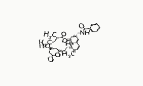 CCC(C)C(=O)O[C@H]1C[C@H](CNC(=O)c2ccccc2)C=C2C=C[C@H](C)[C@H](CC[C@@H]3C[C@@H](O)CC(=O)O3)[C@H]21